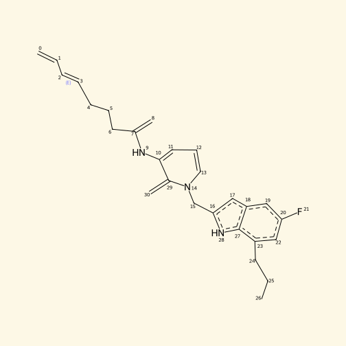 C=C/C=C/CCCC(=C)NC1=CC=CN(Cc2cc3cc(F)cc(CCC)c3[nH]2)C1=C